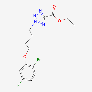 CCOC(=O)c1nnn(CCCCOc2cc(F)ccc2Br)n1